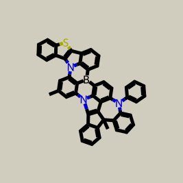 Cc1cc2c3c(c1)-n1c4c(cccc4c4sc5ccccc5c41)B3c1ccc3c4c5c(n-2c14)-c1ccccc1C5(C)c1ccccc1N3c1ccccc1